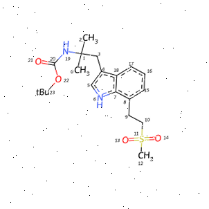 CC(C)(Cc1c[nH]c2c(CCS(C)(=O)=O)cccc12)NC(=O)OC(C)(C)C